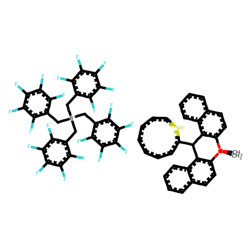 COc1ccc2ccccc2c1C(c1ccccccc[sH+]1)c1c(OC)ccc2ccccc12.Fc1c(F)c(F)c(C[B-](Cc2c(F)c(F)c(F)c(F)c2F)(Cc2c(F)c(F)c(F)c(F)c2F)Cc2c(F)c(F)c(F)c(F)c2F)c(F)c1F